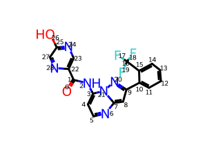 O=C(Nc1ccnc2cc(-c3ccccc3C(F)(F)F)nn12)c1cnc(O)cn1